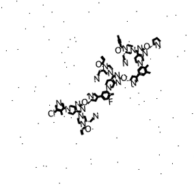 C=CC(=O)N1CCN(c2nc(OC[C@@H]3CC(c4cc(C)c(C)c(N5CCc6c(nc(OC[C@@H]7CCCN7C)nc6N6CCN(C(=O)C#CC)[C@@H](CC#N)C6)C5)c4)CN3C)nc3c2CCN(c2cc(C4C[C@@H](COc5nc6c(c(N7CCN(C(=O)C=C)[C@@H](CC#N)C7)n5)CCN(c5cncc(Cl)c5C)C6)N(C)C4)cc(F)c2C)C3)CC1CC#N